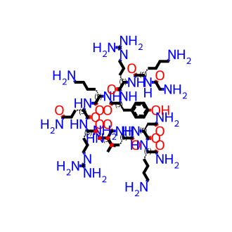 CC(C)[C@H](NC(=O)[C@H](CCCN=C(N)N)NC(=O)[C@H](CCC(N)=O)NC(=O)[C@H](CCCCN)NC(=O)[C@H](Cc1ccc(O)cc1)NC(=O)[C@H](CCCN=C(N)N)NC(=O)[C@H](CCCCN)NC(=O)CN)C(=O)N[C@@H](CCCCN)C(=O)N[C@@H](CC(N)=O)C(=O)N[C@@H](CCCCN)C(N)=O